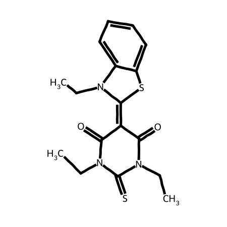 CCN1C(=O)C(=C2Sc3ccccc3N2CC)C(=O)N(CC)C1=S